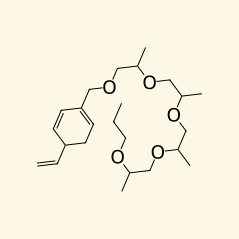 C=CC1C=CC(COCC(C)OCC(C)OCC(C)OCC(C)OCCC)=CC1